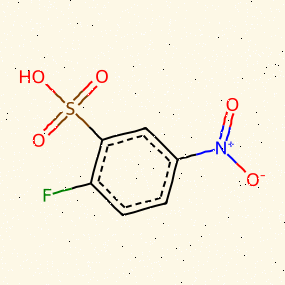 O=[N+]([O-])c1ccc(F)c(S(=O)(=O)O)c1